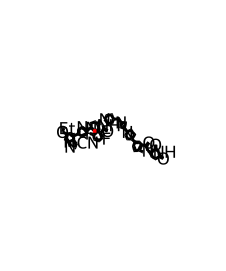 CCOc1cc(-c2ccc(N3CCC(CN4CCC(CN5CC(N6CCC(c7ccc8c(c7)C(=O)N(C7CCC(=O)NC7=O)C8)CC6)C5)CC4)(NC(=O)c4cc(F)ccc4F)CC3)nc2)c2c(C#N)cnn2c1